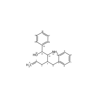 C=CCC(Cc1ccccc1)C(N)C(O)c1ccccc1